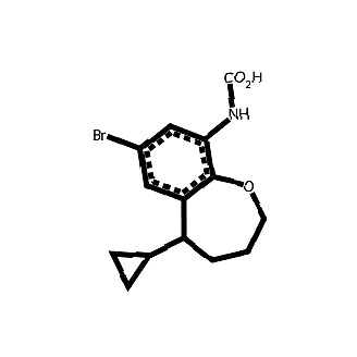 O=C(O)Nc1cc(Br)cc2c1OCCCC2C1CC1